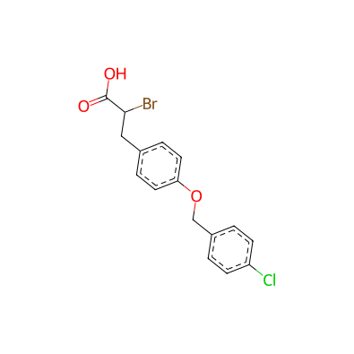 O=C(O)C(Br)Cc1ccc(OCc2ccc(Cl)cc2)cc1